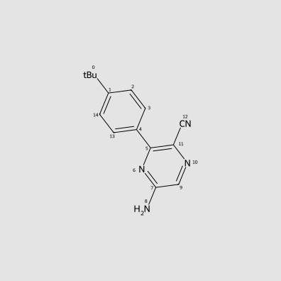 CC(C)(C)c1ccc(-c2nc(N)cnc2C#N)cc1